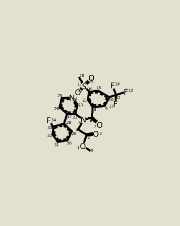 COC(=O)CN(C(=O)c1cc(C(F)(F)F)cc(S(C)(=O)=O)c1)c1cnccc1-c1ccccc1F